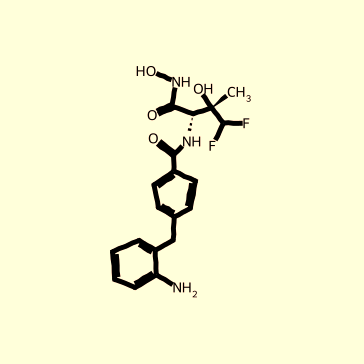 C[C@@](O)(C(F)F)[C@H](NC(=O)c1ccc(Cc2ccccc2N)cc1)C(=O)NO